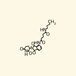 CCCCNC(=O)CCCC(=O)Nc1cccc2c1C(=O)N(C1CCC(=O)NC1=O)C2=O